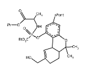 CCCCCc1cc2c(c(OP(=O)(NC(C)C(=O)OC(C)C)C(=O)OCC)c1)C1C=C(CO)CCC1C(C)(C)O2